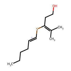 CCCC/C=C/SC(CCO)=C(C)C